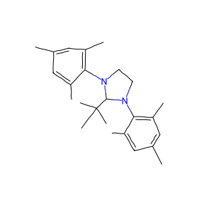 Cc1cc(C)c(N2CCN(c3c(C)cc(C)cc3C)C2C(C)(C)C)c(C)c1